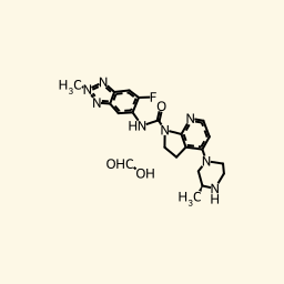 C[C@H]1CN(c2ccnc3c2CCN3C(=O)Nc2cc3nn(C)nc3cc2F)CCN1.O=CO